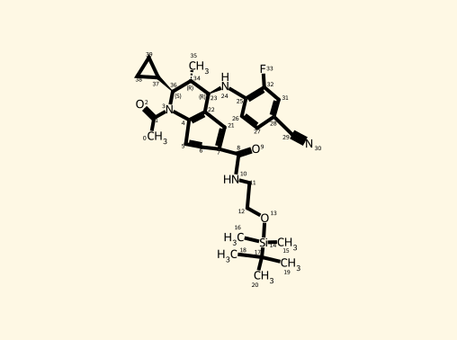 CC(=O)N1c2ccc(C(=O)NCCO[Si](C)(C)C(C)(C)C)cc2[C@H](Nc2ccc(C#N)cc2F)[C@@H](C)[C@@H]1C1CC1